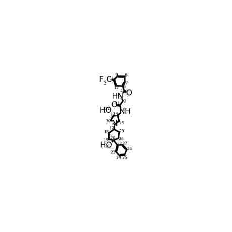 O=C(CNC(=O)c1cccc(C(F)(F)F)c1)NC1CN(C2CCC(O)(c3ccccc3)CC2)C[C@@H]1O